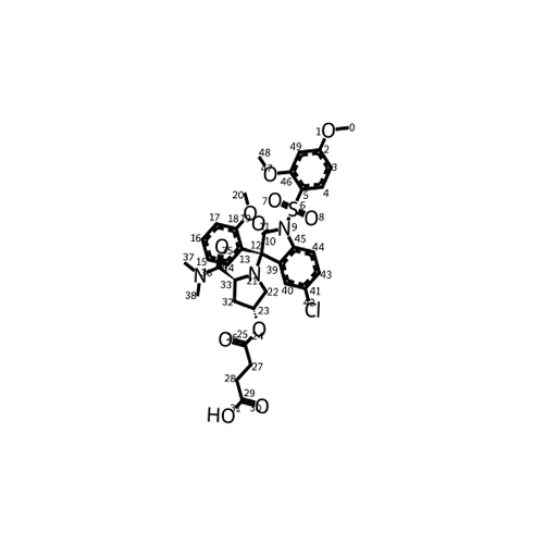 COc1ccc(S(=O)(=O)N2C(=O)[C@@](c3ccccc3OC)(N3C[C@H](OC(=O)CCC(=O)O)C[C@H]3C(=O)N(C)C)c3cc(Cl)ccc32)c(OC)c1